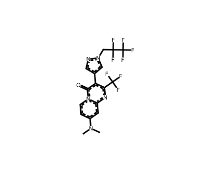 CN(C)c1ccn2c(=O)c(-c3cnn(CC(F)(F)C(F)(F)F)c3)c(C(F)(F)F)nc2c1